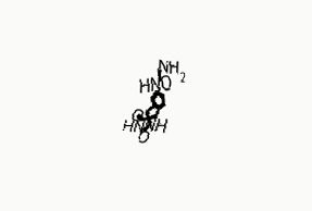 NCC(=O)Nc1ccc2c(c1)CC1(C2)NC(=O)NC1=O